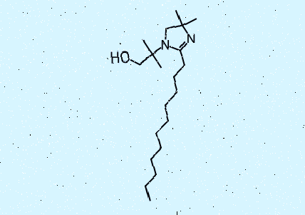 CCCCCCCCCCCC1=NC(C)(C)CN1C(C)(C)CO